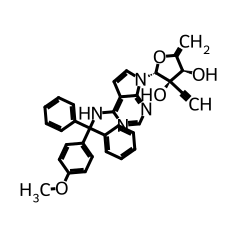 C#C[C@@]1(O)[C@H](O)C(=C)O[C@H]1n1ccc2c(NC(c3ccccc3)(c3ccccc3)c3ccc(OC)cc3)ncnc21